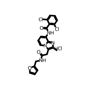 Cc1nc2c(NC(=O)c3c(Cl)cccc3Cl)cccn2c1CC(=O)NCc1ccco1.Cl